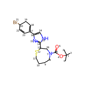 CC(C)(C)OC(=O)N1CCCCSC(c2nc(C3=CCC(Br)C=C3)c[nH]2)C1